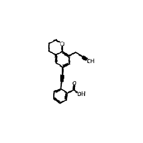 C#CCc1cc(C#Cc2ccccc2C(=O)O)cc2c1OCCC2